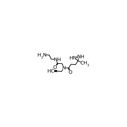 C#CCN(CC(=O)NCCN)C(=O)CCC1(C)NN1